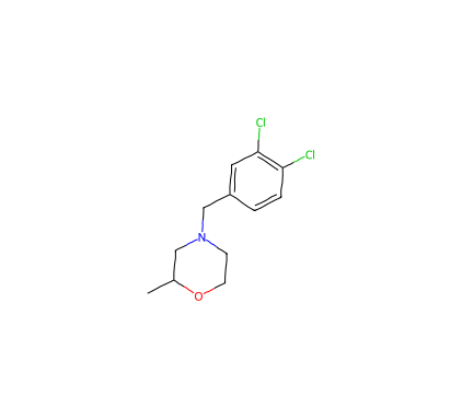 CC1CN(Cc2ccc(Cl)c(Cl)c2)CCO1